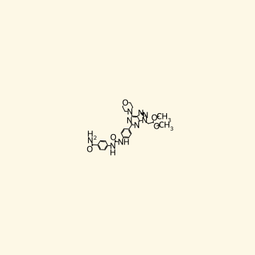 COC(Cn1nnc2c(N3CCOCC3)nc(-c3ccc(NC(=O)Nc4ccc(C(N)=O)cc4)cc3)nc21)OC